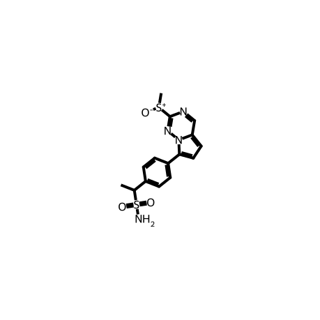 CC(c1ccc(-c2ccc3cnc([S+](C)[O-])nn23)cc1)S(N)(=O)=O